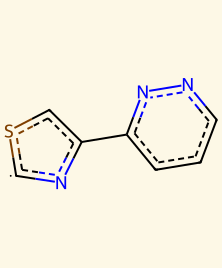 [c]1nc(-c2cccnn2)cs1